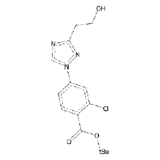 CC(C)(C)OC(=O)c1ccc(-n2cnc(CCO)n2)cc1Cl